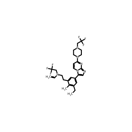 C=CN(CCc1cc(-c2cnc3nc(N4CCN(CC(F)(F)F)CC4)ccn23)cc(CC)c1C)CC(F)(F)F